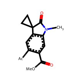 COC(=O)c1cc2c(cc1C(C)=O)C1(CC1)C(=O)N2C